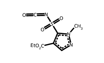 CCOC(=O)c1cnn(C)c1S(=O)(=O)N=C=O